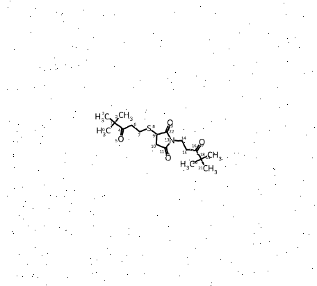 CC(C)(C)C(=O)CCSC1CC(=O)N(CCC(=O)C(C)(C)C)C1=O